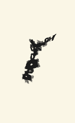 Cc1oc(COc2ccc(OCc3ccccc3)cc2)nc1CCO